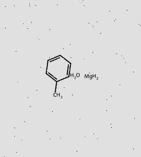 Cc1ccccc1.O.[MgH2]